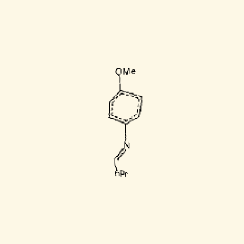 CCCC=Nc1ccc(OC)cc1